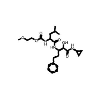 COCCOC(=O)NC(CC(C)C)C(=O)NC(CCc1ccccc1)C(O)C(=O)NC1CC1